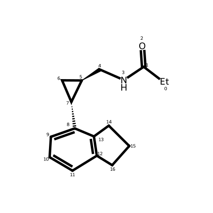 CCC(=O)NC[C@@H]1C[C@H]1c1cccc2c1CCC2